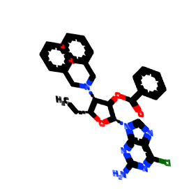 CC[C@H]1O[C@@H](n2cnc3c(Cl)nc(N)nc32)C(OC(=O)c2ccccc2)[C@H]1N(Cc1ccccc1)Cc1ccccc1